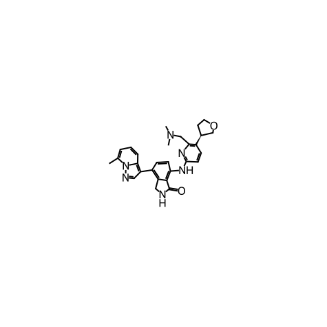 Cc1cccc2c(-c3ccc(Nc4ccc([C@H]5CCOC5)c(CN(C)C)n4)c4c3CNC4=O)cnn12